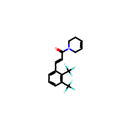 O=C(/C=C/c1cc[c]c(C(F)(F)F)c1C(F)(F)F)N1CC=CCC1